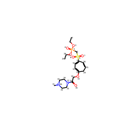 CCOP(=O)(CS(=O)(=O)C1=CC=C(OCC(=O)N2CCN(C)CC2)CC=C1)OCC